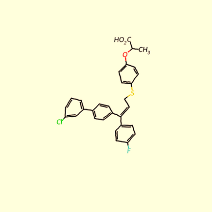 CC(Oc1ccc(SCC=C(c2ccc(F)cc2)c2ccc(-c3cccc(Cl)c3)cc2)cc1)C(=O)O